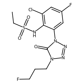 CCS(=O)(=O)Nc1c(Cl)cc(F)cc1-n1nnn(CCCF)c1=O